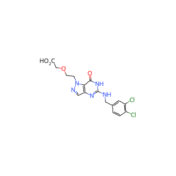 O=C(O)COCCn1ncc2nc(NCc3ccc(Cl)c(Cl)c3)[nH]c(=O)c21